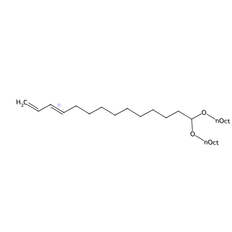 C=C/C=C/CCCCCCCCCC(OCCCCCCCC)OCCCCCCCC